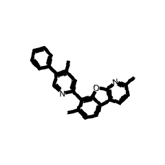 Cc1ccc2c(n1)oc1c(-c3cc(C)c(-c4ccccc4)cn3)c(C)ccc12